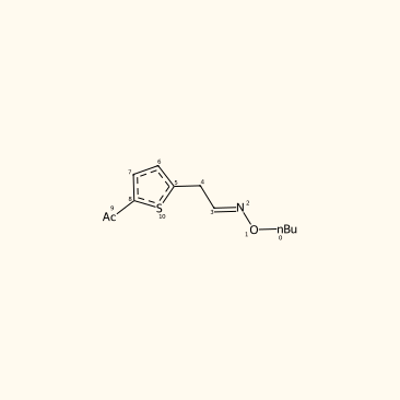 CCCCON=CCc1ccc(C(C)=O)s1